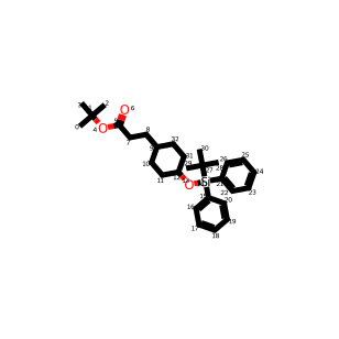 CC(C)(C)OC(=O)CCC1CCC(O[Si](c2ccccc2)(c2ccccc2)C(C)(C)C)CC1